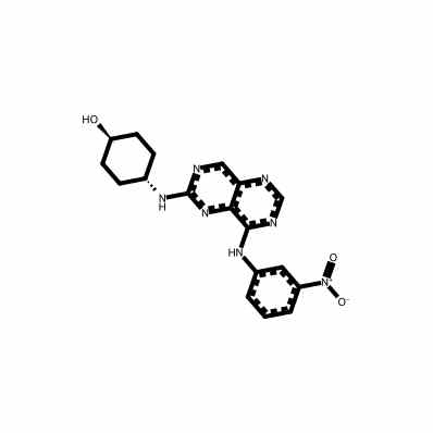 O=[N+]([O-])c1cccc(Nc2ncnc3cnc(N[C@H]4CC[C@H](O)CC4)nc23)c1